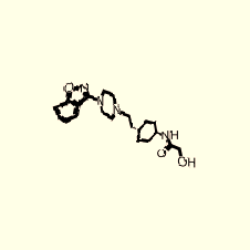 O=C(CO)N[C@H]1CC[C@H](CCN2CCN(c3noc4ccccc34)CC2)CC1